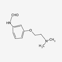 CN(C)CCOc1cccc(NC=O)c1